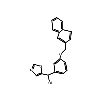 OC(c1cccc(OCc2ccc3ccccc3c2)c1)c1cncs1